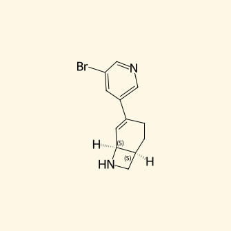 Brc1cncc(C2=C[C@@H]3NC[C@@H]3CC2)c1